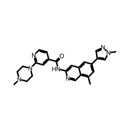 Cc1cc(-c2cnn(C)c2)cc2cc(NC(=O)c3ccnc(N4CCN(C)CC4)c3)ncc12